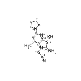 Cc1cc(N2CCCC2)nc2c1N(SC#N)C(N)S2.[KH]